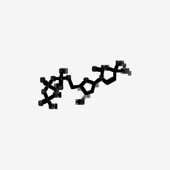 NC1(N)C=CN([C@H]2C[C@H](O)[C@@H](COP(=O)(O)OP(=O)(O)OP(=O)(O)O)O2)C(=O)N1